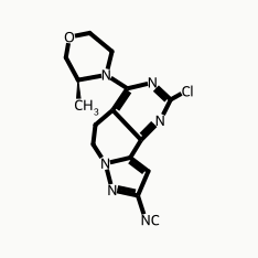 [C-]#[N+]c1cc2n(n1)CCc1c-2nc(Cl)nc1N1CCOC[C@@H]1C